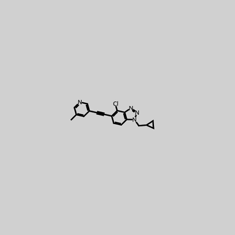 Cc1cncc(C#Cc2ccc3c(nnn3CC3CC3)c2Cl)c1